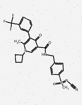 Cc1c(-c2cccc(C(F)(F)F)c2)c(=O)c(C(=O)NCc2ccc(S(C)(=O)=NC#N)cc2)cn1C1CCC1